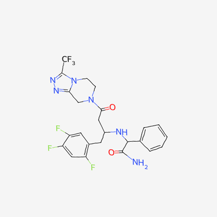 NC(=O)C(NC(CC(=O)N1CCn2c(nnc2C(F)(F)F)C1)Cc1cc(F)c(F)cc1F)c1ccccc1